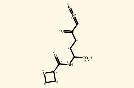 [N-]=[N+]=CC(=O)CCC(NC(=O)[C@H]1CCO1)C(=O)O